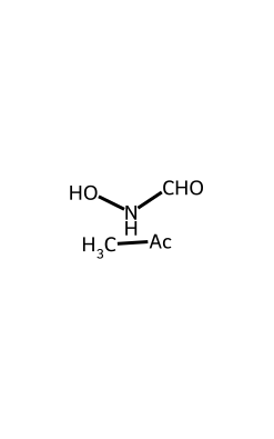 CC(C)=O.O=CNO